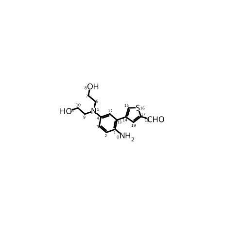 Nc1ccc(N(CCO)CCO)cc1-c1csc(C=O)c1